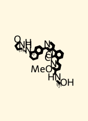 COc1nc(-c2cccc(-c3ccnc(-c4ccc5c(c4)CCC[C@H]5NC[C@@H]4CCC(=O)N4)c3Cl)c2Cl)ccc1CNC[C@@H](C)O